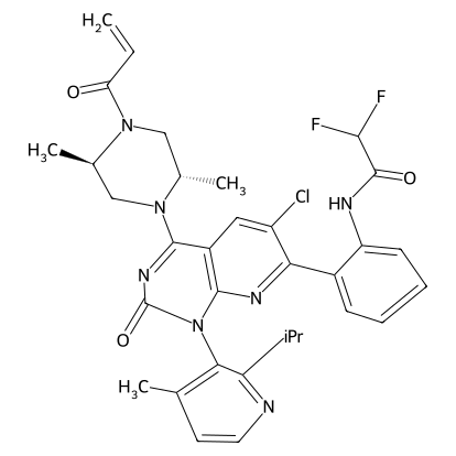 C=CC(=O)N1C[C@H](C)N(c2nc(=O)n(-c3c(C)ccnc3C(C)C)c3nc(-c4ccccc4NC(=O)C(F)F)c(Cl)cc23)C[C@H]1C